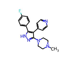 CN1CCN(c2n[nH]c(-c3ccc(F)cc3)c2-c2ccncc2)CC1